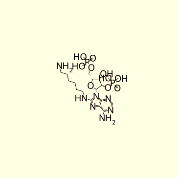 NCCCCCCNc1nc2c(N)ncnc2n1[C@@H]1O[C@H](COP(=O)(O)O)[C@@H](O)[C@H]1OP(=O)(O)O